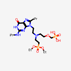 CCOP(=O)(CCN(CCOCP(=O)(O)O)CCn1c(C(C)C)nc2c(=O)[nH]c(NC(C)C)nc21)OCC